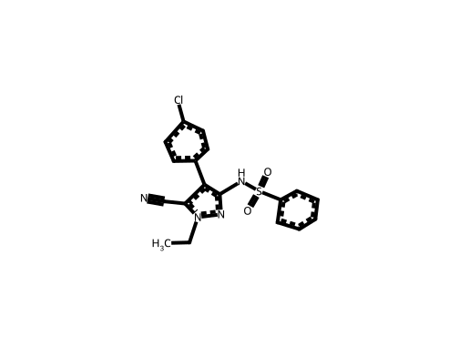 CCn1nc(NS(=O)(=O)c2ccccc2)c(-c2ccc(Cl)cc2)c1C#N